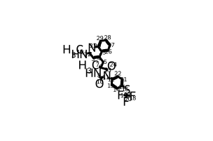 CNc1cc(CC2(C)NC(=O)N(c3ccc(SC(F)(F)F)cc3)C2=O)c2ccccc2n1